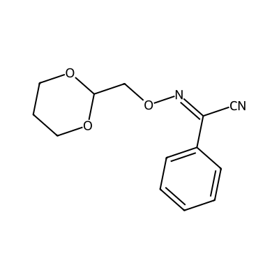 N#CC(=NOCC1OCCCO1)c1ccccc1